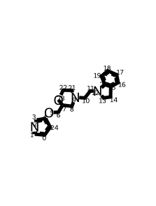 c1cncc(OCC2CN(CCN3CCc4ccccc43)CCO2)c1